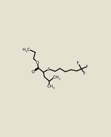 CCCOC(=O)C(CC(C)C)SCCCCCC(F)(F)F